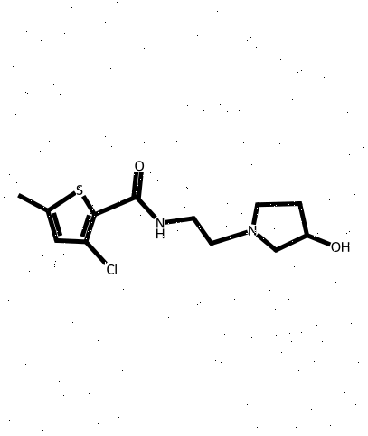 Cc1cc(Cl)c(C(=O)NCCN2CCC(O)C2)s1